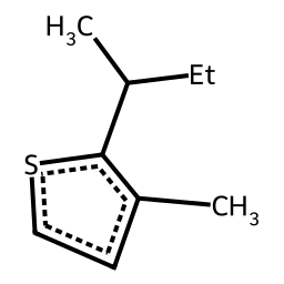 CCC(C)c1sccc1C